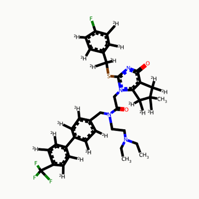 [2H]c1c([2H])c(C([2H])([2H])Sc2nc(=O)c3c(n2CC(=O)N(CCN(CC)CC)Cc2c([2H])c([2H])c(-c4c([2H])c([2H])c(C(F)(F)F)c([2H])c4[2H])c([2H])c2[2H])C([2H])([2H])C([2H])(C)C3([2H])[2H])c([2H])c([2H])c1F